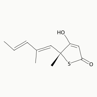 C/C=C/C(C)=C/[C@@]1(C)SC(=O)C=C1O